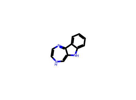 C1=CNC=c2[nH]c3ccccc3c2=N1